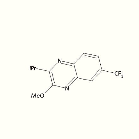 COc1nc2cc(C(F)(F)F)ccc2nc1C(C)C